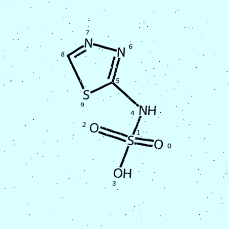 O=S(=O)(O)Nc1nncs1